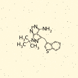 CC(C)(C)n1nc(Cc2csc3ccccc23)c2c(N)ncnc21